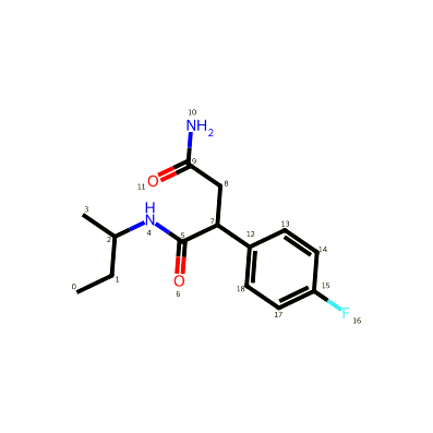 CCC(C)NC(=O)C(CC(N)=O)c1ccc(F)cc1